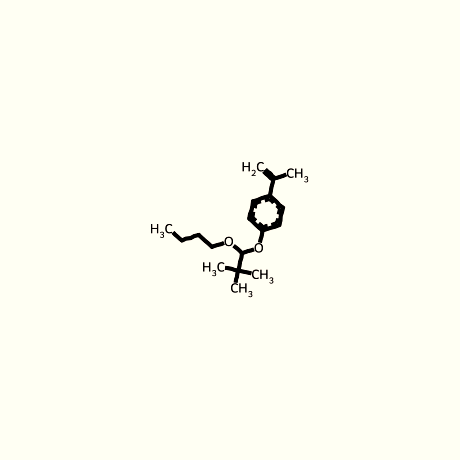 C=C(C)c1ccc(OC(OCCCC)C(C)(C)C)cc1